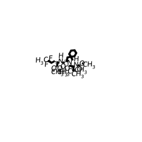 COC(=O)N[C@H](C(=O)N1CC2(CCCCC2)C[C@H]1C(=O)N[C@@H](CCC(C)(F)F)C(OC)OC)C(C)(C)C